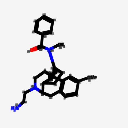 COc1ccc2c(c1)C13CCN(CCN)C(C2)C12CCC(N(C)C(=O)c1ccccc1)C3CC2